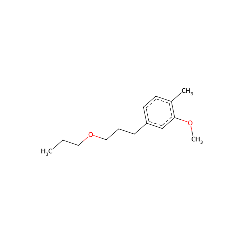 CCCOCCCc1ccc(C)c(OC)c1